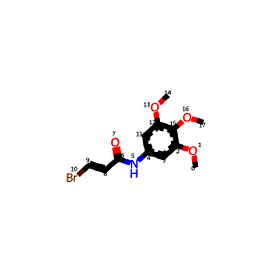 COc1cc(NC(=O)C=CBr)cc(OC)c1OC